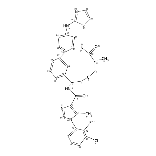 Cc1c(C(=O)N[C@H]2CCC[C@@H](C)C(=O)Nc3cc(Nc4nccs4)ccc3-c3ccnc2c3)nnn1-c1cccc(Cl)c1F